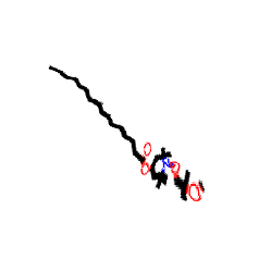 CCCCCCCCCCCCCCCC(=O)OC1CC(C)(C)N(OCC(C)(C)OC)C(C)(C)C1